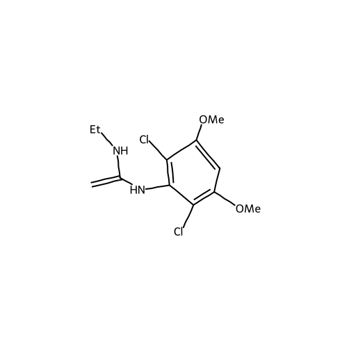 C=C(NCC)Nc1c(Cl)c(OC)cc(OC)c1Cl